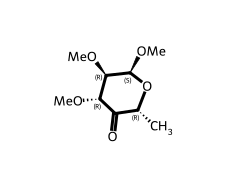 CO[C@H]1O[C@H](C)C(=O)[C@H](OC)[C@H]1OC